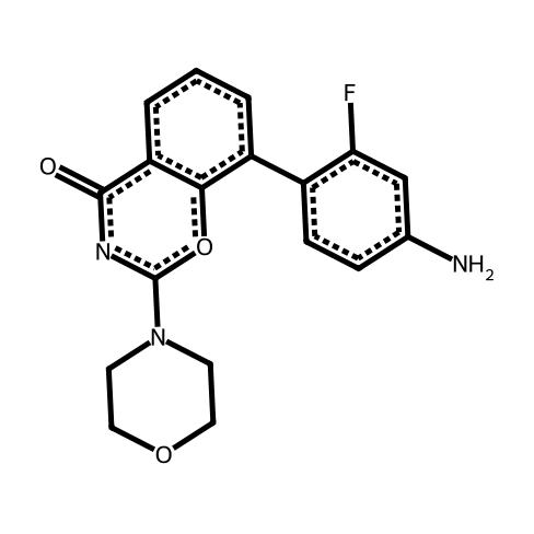 Nc1ccc(-c2cccc3c(=O)nc(N4CCOCC4)oc23)c(F)c1